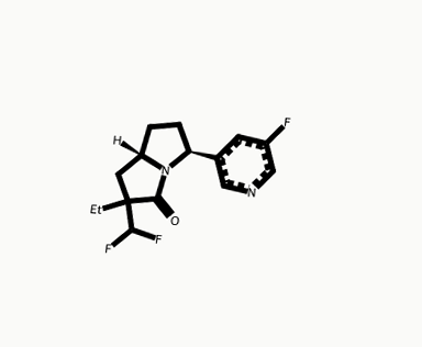 CCC1(C(F)F)C[C@@H]2CC[C@@H](c3cncc(F)c3)N2C1=O